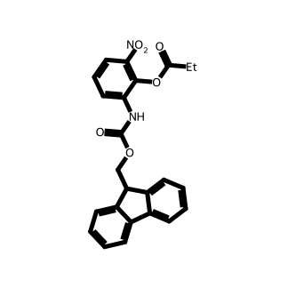 CCC(=O)Oc1c(NC(=O)OCC2c3ccccc3-c3ccccc32)cccc1[N+](=O)[O-]